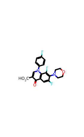 O=C(O)c1cn(-c2ccc(F)cc2)c2c(F)c(N3CCOCC3)c(F)cc2c1=O